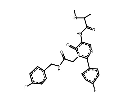 CNC(C)C(=O)Nc1cnc(-c2ccc(F)cc2)n(CC(=O)NCc2ccc(F)cc2)c1=O